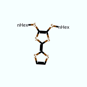 CCCCCCSC1=C(SCCCCCC)SC(=C2SC=CS2)S1